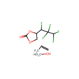 C=CC(F)(F)F.O=C(O)O.O=C1OCC(C(F)C(F)(F)C(F)F)O1